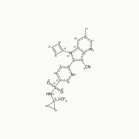 Cc1cnc2c(C#N)c(-c3ccc(S(=O)(=O)NC4(C(F)(F)F)CC4)cn3)n(C3=CC=C3)c2c1